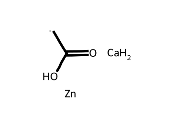 [CH2]C(=O)O.[CaH2].[Zn]